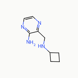 Nc1nccnc1CNC1CCC1